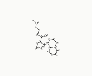 COCCOC(=O)c1cncn1C1CCCc2ccccc21